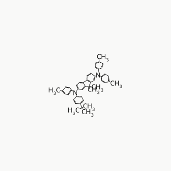 Cc1ccc(N(c2ccc(C)cc2)c2ccc3c(c2)C(C)(C)c2cc(N(c4ccc(C)cc4)c4ccc(C(C)(C)C)cc4)ccc2-3)cc1